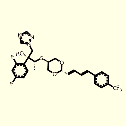 C[C@@H](S[C@H]1CO[C@H](C=CC=Cc2ccc(C(F)(F)F)cc2)OC1)[C@](O)(Cn1cncn1)c1ccc(F)cc1F